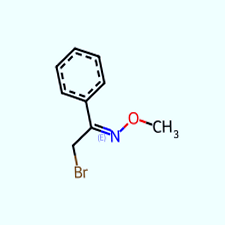 CO/N=C(/CBr)c1ccccc1